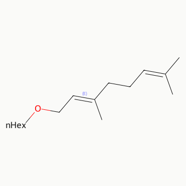 [CH2]CCCCCOC/C=C(\C)CCC=C(C)C